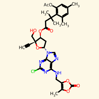 C#C[C@]1(CO)O[C@@H](n2cnc3c(NCc4oc(=O)oc4C)nc(Cl)nc32)C[C@@H]1OC(=O)CC(C)(C)c1c(C)cc(C)cc1OC(C)=O